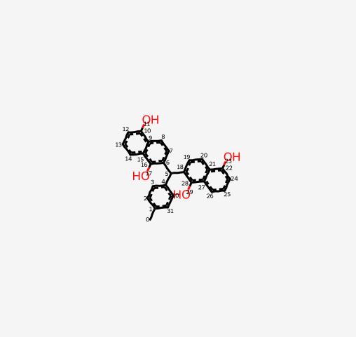 Cc1ccc(C(c2ccc3c(O)cccc3c2O)c2ccc3c(O)cccc3c2O)cc1